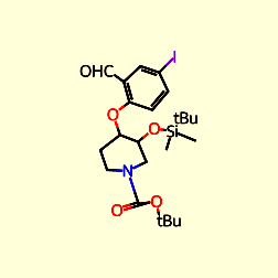 CC(C)(C)OC(=O)N1CCC(Oc2ccc(I)cc2C=O)C(O[Si](C)(C)C(C)(C)C)C1